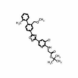 COCc1cc(-c2nc(-c3cnc(NCC(=O)OC(C)(C)C)c(Cl)c3)no2)ccc1-c1ccccc1C